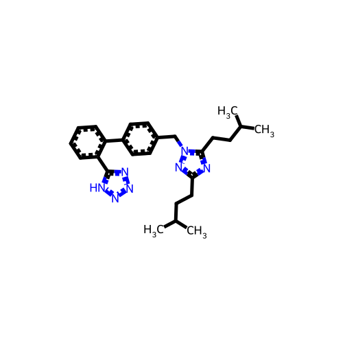 CC(C)CCc1nc(CCC(C)C)n(Cc2ccc(-c3ccccc3-c3nnn[nH]3)cc2)n1